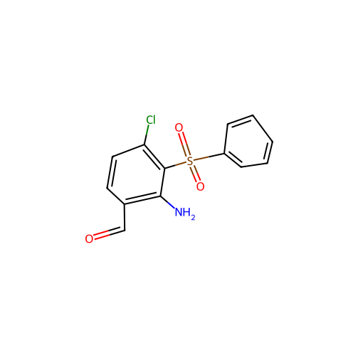 Nc1c(C=O)ccc(Cl)c1S(=O)(=O)c1ccccc1